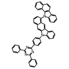 c1ccc(-c2nc(-c3ccccc3)nc(-c3ccc(-n4c5ccccc5c5cc6c(-n7c8ccccc8c8ccc9ccccc9c87)cccc6cc54)cc3)n2)cc1